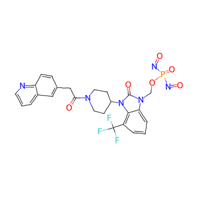 O=NP(=O)(N=O)OCn1c(=O)n(C2CCN(C(=O)Cc3ccc4ncccc4c3)CC2)c2c(C(F)(F)F)cccc21